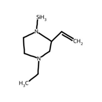 C=CC1CN(CC)CCN1[SiH3]